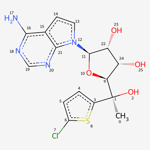 C[C@](O)(c1ccc(Cl)s1)[C@H]1O[C@@H](n2ccc3c(N)ncnc32)[C@H](O)[C@@H]1O